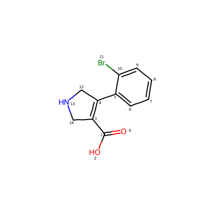 O=C(O)C1=C(c2ccccc2Br)CNC1